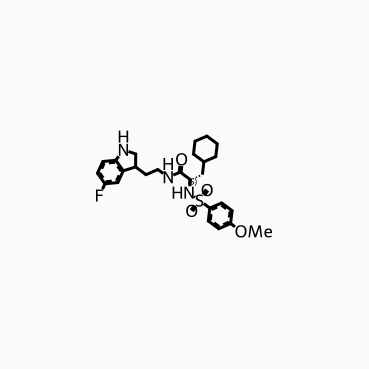 COc1ccc(S(=O)(=O)N[C@@H](CC2CCCCC2)C(=O)NCCC2CNc3ccc(F)cc32)cc1